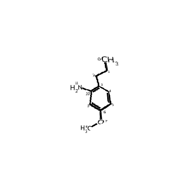 CCCc1ccc(OC)cc1N